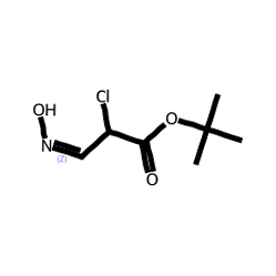 CC(C)(C)OC(=O)C(Cl)/C=N\O